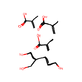 C=C(C)C(=O)O.C=C(C)C(=O)O.C=C(C)C(=O)O.OCC=CC(CO)CO